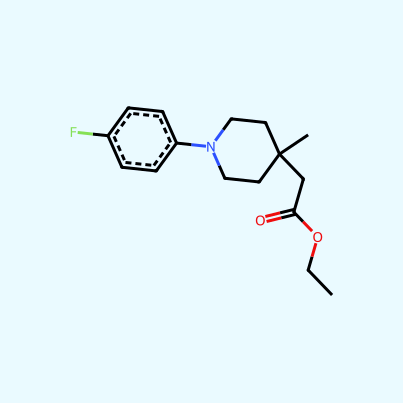 CCOC(=O)CC1(C)CCN(c2ccc(F)cc2)CC1